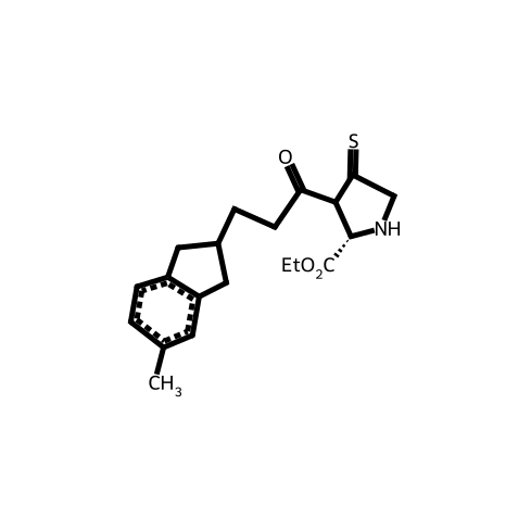 CCOC(=O)[C@H]1NCC(=S)C1C(=O)CCC1Cc2ccc(C)cc2C1